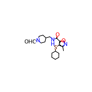 Cc1noc(C(=O)NCC2CCN(C=O)CC2)c1SC1CCCCC1